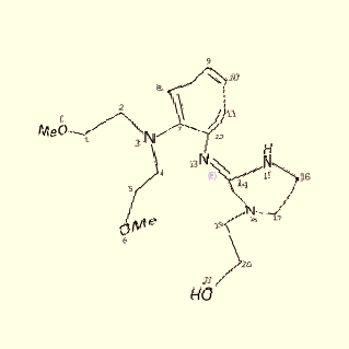 COCCN(CCOC)c1ccccc1/N=C1\NCCN1CCO